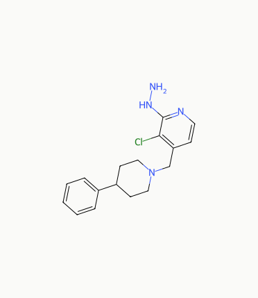 NNc1nccc(CN2CCC(c3ccccc3)CC2)c1Cl